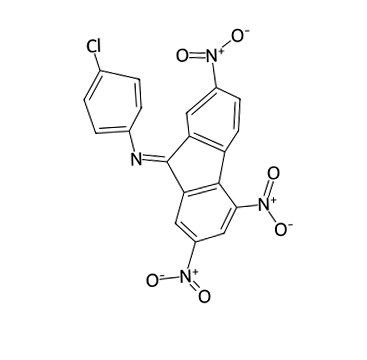 O=[N+]([O-])c1ccc2c(c1)/C(=N\c1ccc(Cl)cc1)c1cc([N+](=O)[O-])cc([N+](=O)[O-])c1-2